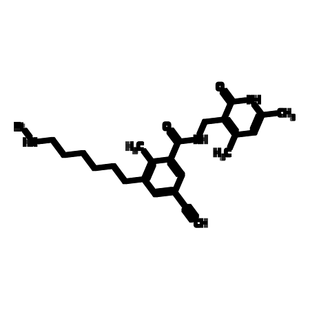 C#Cc1cc(CCCCCCNCC)c(C)c(C(=O)NCc2c(C)cc(C)[nH]c2=O)c1